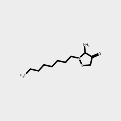 CCCCCCCCN1SCC(=O)C1N